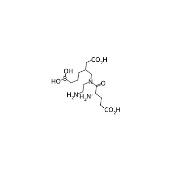 NCCN(CC(CCCB(O)O)CC(=O)O)C(=O)[C@@H](N)CCC(=O)O